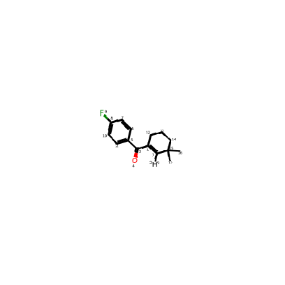 [2H]C1=C(C(=O)c2ccc(F)cc2)CCCC1(C)C